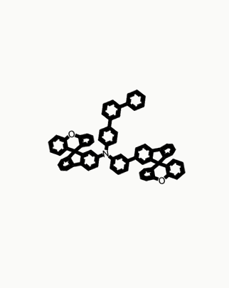 c1ccc(-c2cccc(-c3ccc(N(c4cccc(-c5ccc6c(c5)C5(c7ccccc7Oc7ccccc75)c5ccccc5-6)c4)c4ccc5c(c4)C4(c6ccccc6Oc6ccccc64)c4ccccc4-5)cc3)c2)cc1